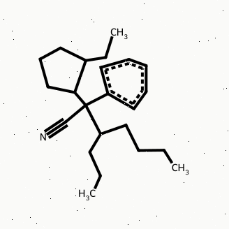 CCCCC(CCC)C(C#N)(c1ccccc1)C1CCCC1CC